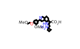 COCCOc1ccc(-c2cc3c(cn2)CCc2c-3[nH]c(CC3(N)CCC3)c2C(=O)O)cc1OC